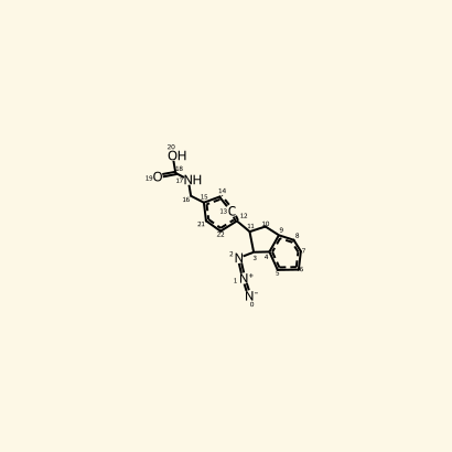 [N-]=[N+]=NC1c2ccccc2CC1c1ccc(CNC(=O)O)cc1